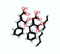 CCC[CH2][Sn][CH2]CCC.O=C(O)/C=C(/Cc1ccccc1)C(=O)O.O=C(O)/C=C(/Cc1ccccc1)C(=O)O